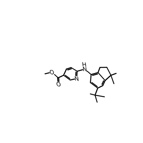 COC(=O)c1ccc(Nc2cc(C(C)(C)C)cc3c2CCC3(C)C)nc1